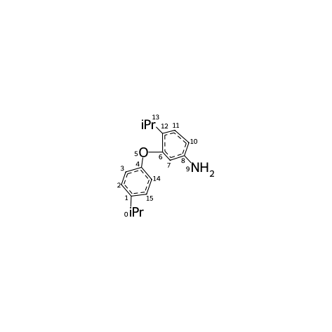 CC(C)c1ccc(Oc2cc(N)ccc2C(C)C)cc1